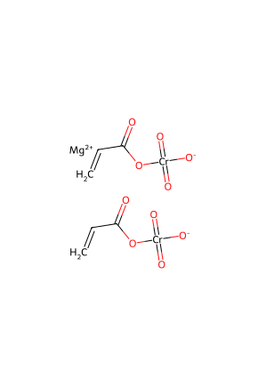 C=CC(=O)[O][Cr](=[O])(=[O])[O-].C=CC(=O)[O][Cr](=[O])(=[O])[O-].[Mg+2]